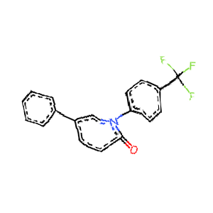 O=c1ccc(-c2ccccc2)cn1-c1ccc(C(F)(F)F)cc1